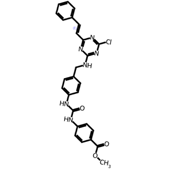 COC(=O)c1ccc(NC(=O)Nc2ccc(CNc3nc(Cl)nc(/C=C/c4ccccc4)n3)cc2)cc1